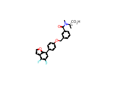 C[C@@H](C(=O)O)N(C)C(=O)c1cccc(COc2ccc(-c3cc(F)c(F)c4ccoc34)cc2)c1